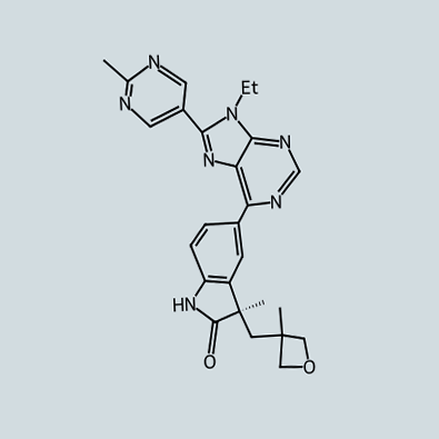 CCn1c(-c2cnc(C)nc2)nc2c(-c3ccc4c(c3)[C@@](C)(CC3(C)COC3)C(=O)N4)ncnc21